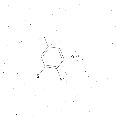 Cc1ccc([S-])c([S-])c1.[Zn+2]